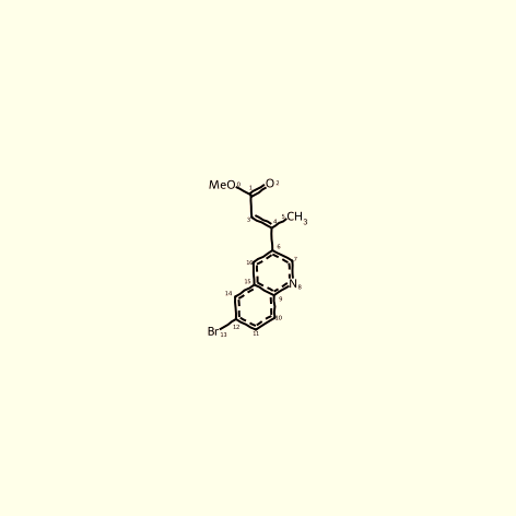 COC(=O)C=C(C)c1cnc2ccc(Br)cc2c1